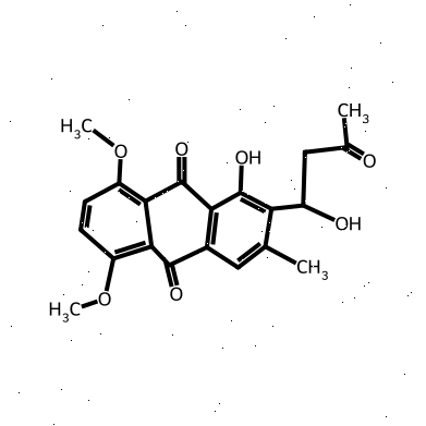 COc1ccc(OC)c2c1C(=O)c1cc(C)c(C(O)CC(C)=O)c(O)c1C2=O